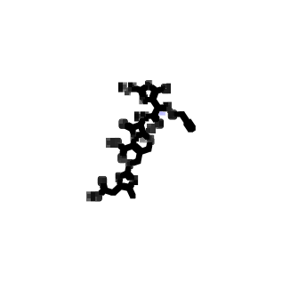 C#CCO/N=C(\C(=O)NC1C(=O)N2C(C(=O)O)=C(CSc3nc(C)c(CC(=O)O)s3)CS[C@H]12)c1nc(N)sc1Cl